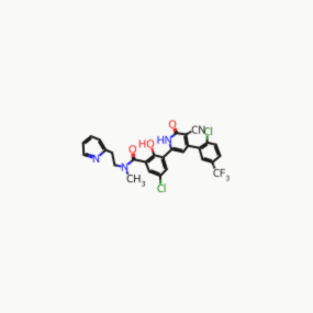 CN(CCc1ccccn1)C(=O)c1cc(Cl)cc(-c2cc(-c3cc(C(F)(F)F)ccc3Cl)c(C#N)c(=O)[nH]2)c1O